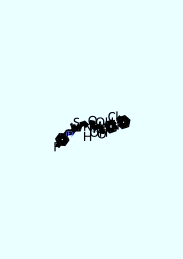 O=C(NCC1=CC(/C=C/c2ccc(F)cc2)CS1)[C@H](O)[C@@H](O)C(=O)N1CCN(c2ccccc2Cl)CC1